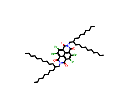 CCCCCCCCCCC(CCCCCCCC)CN1C(=O)c2c(Br)c(Br)c3c4c(c(Br)c(Br)c(c24)C1=O)C(=O)N(CC(CCCCCCCC)CCCCCCCCCC)C3=O